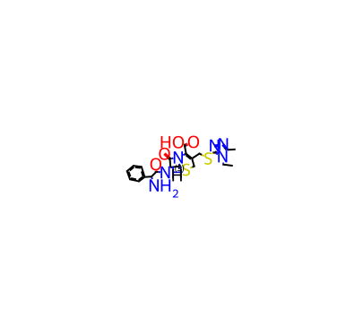 CCn1c(C)nnc1SCC1=C(C(=O)O)N2C(=O)C(NC(=O)C(N)c3ccccc3)[C@@H]2SC1